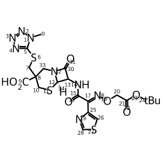 Cn1nnnc1SCC1(C(=O)O)CS[C@@H]2C(NC(=O)C(=NOCC(=O)OC(C)(C)C)c3cscn3)C(=O)N2C1